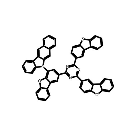 c1ccc2cc3c(cc2c1)c1ccccc1n3-c1cc(-c2nc(-c3ccc4oc5ccccc5c4c3)nc(-c3ccc4sc5ccccc5c4c3)n2)cc2c1oc1ccccc12